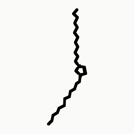 CCCCCCCCCCCCN1C=CN(CCCCCCCCCCCC)C1